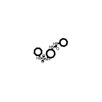 O=C(BC1CCCCCCC1)NC1CCCCC(NS(=O)(=O)BC2CCCCCCC2)CCC1